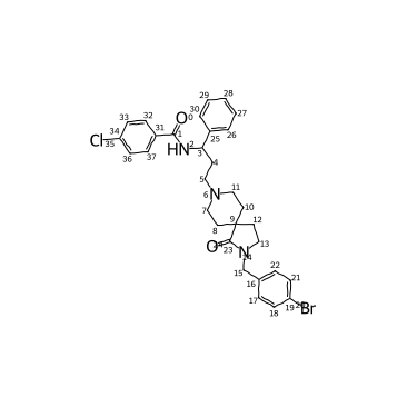 O=C(NC(CCN1CCC2(CC1)CCN(Cc1ccc(Br)cc1)C2=O)c1ccccc1)c1ccc(Cl)cc1